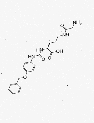 NCC(=O)NCCC[C@H](NC(=O)Nc1ccc(OCc2ccccc2)cc1)C(=O)O